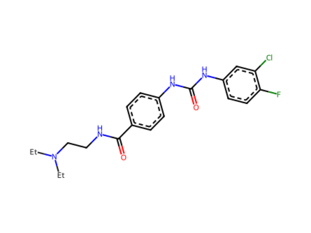 CCN(CC)CCNC(=O)c1ccc(NC(=O)Nc2ccc(F)c(Cl)c2)cc1